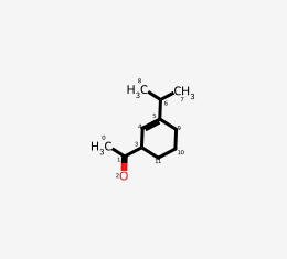 CC(=O)C1C=C(C(C)C)CCC1